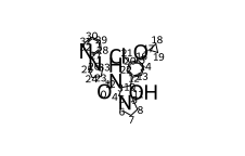 O=C(N[C@H](CN1CCCC1)[C@H](O)c1ccc(OC2CC2)c(Cl)c1)[C@@H]1CCN(c2ccccn2)C1